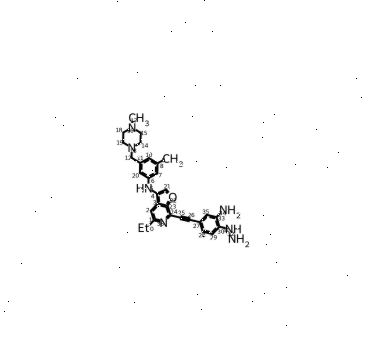 CCc1cc2c(Nc3cc(C)cc(CN4CCN(C)CC4)c3)coc2c(C#Cc2ccc(NN)c(N)c2)n1